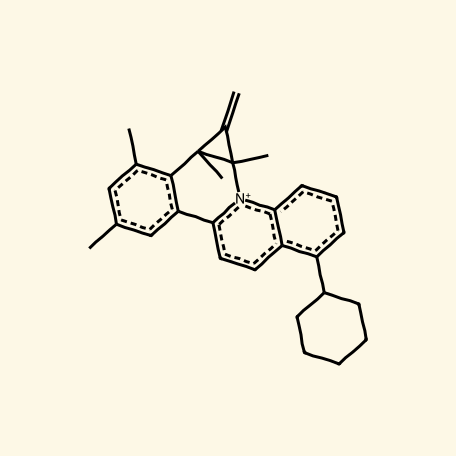 C=C1C2(C)c3c(C)cc(C)cc3-c3ccc4c(C5CCCCC5)cccc4[n+]3C12C